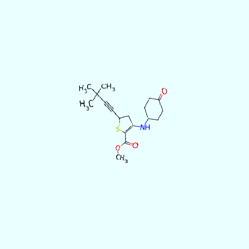 COC(=O)C1=C(NC2CCC(=O)CC2)CC(C#CC(C)(C)C)S1